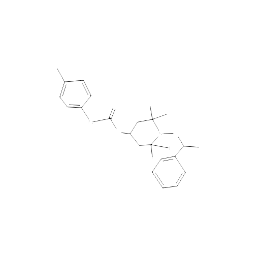 CCC1(CC)CC(OC(=O)Nc2ccc(C)cc2)CC(C)(C)N1OC(C)c1ccccc1